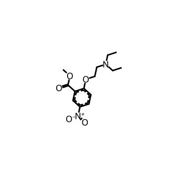 CCN(CC)CCOc1ccc([N+](=O)[O-])cc1C(=O)OC